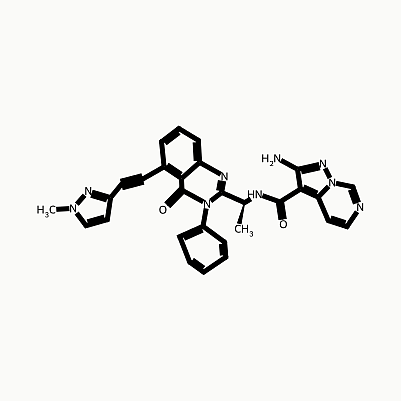 C[C@H](NC(=O)c1c(N)nn2cnccc12)c1nc2cccc(C#Cc3ccn(C)n3)c2c(=O)n1-c1ccccc1